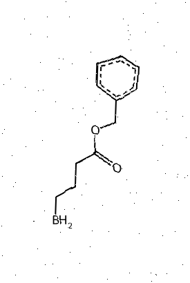 BCCCC(=O)OCc1ccccc1